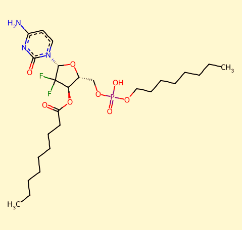 CCCCCCCCOP(=O)(O)OC[C@H]1O[C@@H](n2ccc(N)nc2=O)C(F)(F)[C@@H]1OC(=O)CCCCCCCC